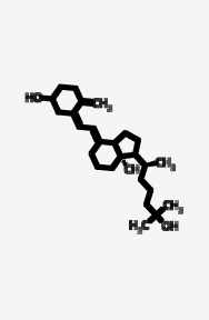 C=C1CCC(O)C/C1=C/C=C1\CCC[C@@]2(C)C1CCC2[C@@H](C)CCCC(C)(C)O